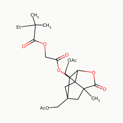 CCC(C)(C)C(=O)OCC(=O)OC1C2OC(=O)C3(C)CC1(COC(C)=O)CC23COC(C)=O